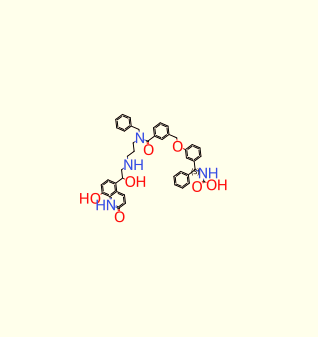 O=C(O)N[C@@H](c1ccccc1)c1cccc(OCc2cccc(C(=O)N(CCCNCC(O)c3ccc(O)c4[nH]c(=O)ccc34)Cc3ccccc3)c2)c1